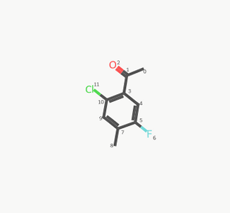 CC(=O)c1cc(F)c(C)cc1Cl